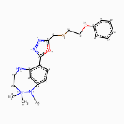 CC(=O)N1c2ccc(-c3nnc(CSCCOc4ccccc4)o3)c(c2)NCC[N+]1(C)C